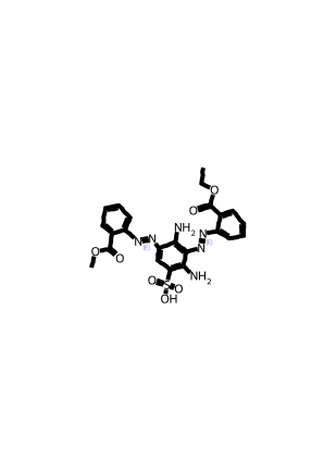 CCOC(=O)c1ccccc1/N=N/c1c(N)c(/N=N/c2ccccc2C(=O)OC)cc(S(=O)(=O)O)c1N